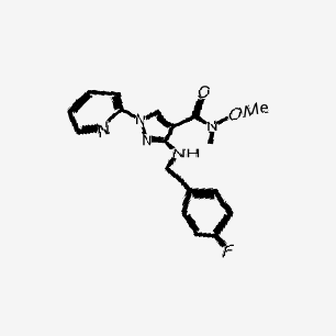 CON(C)C(=O)c1cn(-c2ccccn2)nc1NCc1ccc(F)cc1